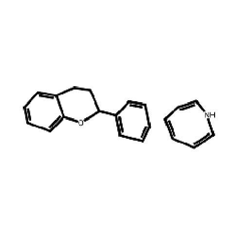 C1=CC=CNC=C1.c1ccc(C2CCc3ccccc3O2)cc1